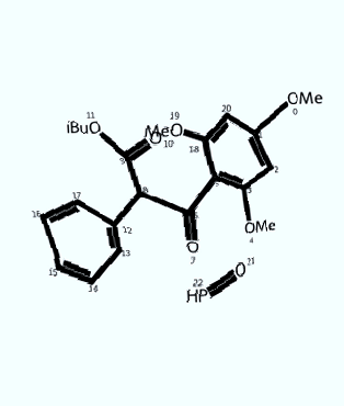 COc1cc(OC)c(C(=O)C(C(=O)OCC(C)C)c2ccccc2)c(OC)c1.O=P